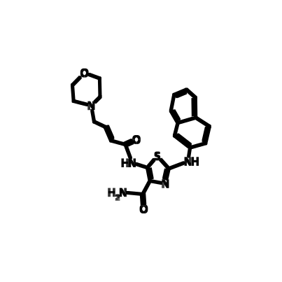 NC(=O)c1nc(Nc2ccc3ccccc3c2)sc1NC(=O)C=CCN1CCOCC1